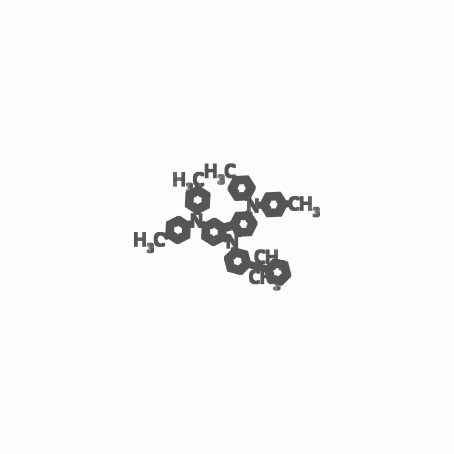 Cc1ccc(N(c2ccc(C)cc2)c2ccc3c(c2)c2cc(N(c4ccc(C)cc4)c4ccc(C)cc4)ccc2n3-c2cccc(C(C)(C)c3ccccc3)c2)cc1